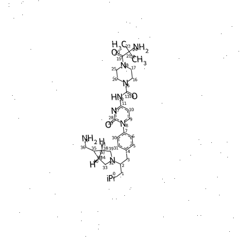 CC(C)CC(Cc1ccc(-n2ccc(NC(=O)N3CCN(C(=O)C(C)(C)N)CC3)nc2=O)cc1)N1C[C@@H]2C(CN)[C@@H]2C1